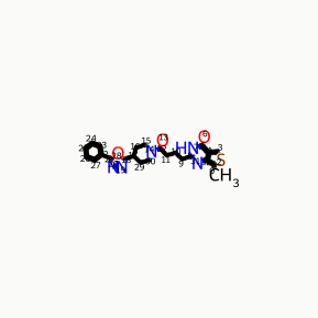 Cc1scc2c(=O)[nH]c(CCCC(=O)N3CCC(c4nnc(-c5ccccc5)o4)CC3)nc12